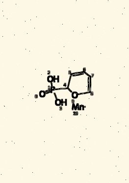 O=P(O)(O)C1C=CC=CO1.[Mn]